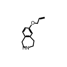 C=CCOc1ccc2c(c1)CCNCC2